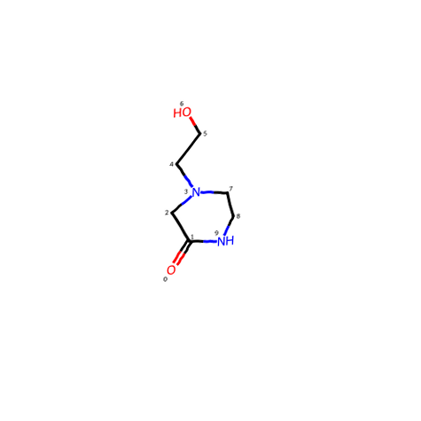 O=C1CN(CCO)CCN1